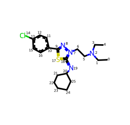 CCN(CC)CCn1nc(-c2ccc(Cl)cc2)sc1=NC1CCCCC1